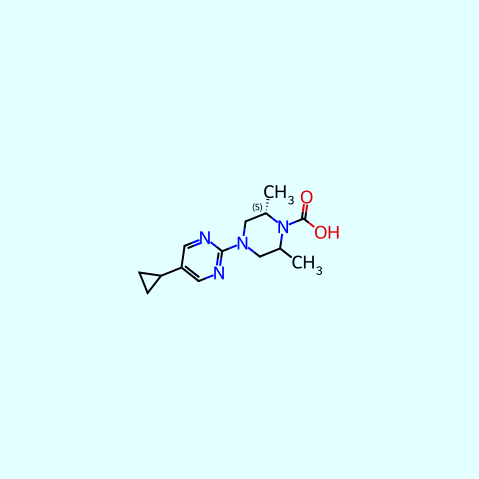 CC1CN(c2ncc(C3CC3)cn2)C[C@H](C)N1C(=O)O